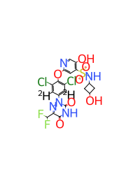 [2H]c1c(Cl)c(Oc2cc(S(=O)(=O)NC3CC(O)C3)c(O)cn2)c(Cl)c([2H])c1-n1nc(C(F)F)c(=O)[nH]c1=O